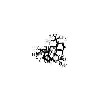 CC(C)(C)c1ccc2c(C(C)(C)C)c1Cc1c(C(C)(C)C)ccc(c1C(C)(C)C)OP(=O)([O-])O2.[Na+]